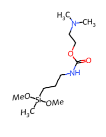 CO[Si](C)(CCCNC(=O)OCCN(C)C)OC